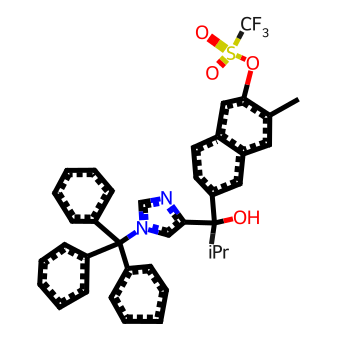 Cc1cc2cc(C(O)(c3cn(C(c4ccccc4)(c4ccccc4)c4ccccc4)cn3)C(C)C)ccc2cc1OS(=O)(=O)C(F)(F)F